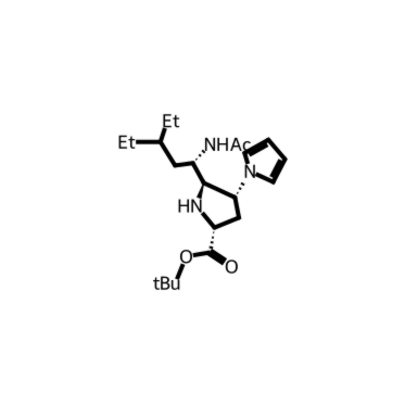 CCC(CC)C[C@H](NC(C)=O)[C@@H]1N[C@@H](C(=O)OC(C)(C)C)C[C@H]1n1cccc1